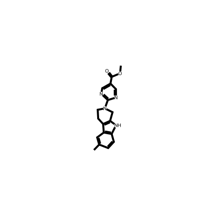 COC(=O)c1cnc(N2CCc3c([nH]c4ccc(C)cc34)C2)nc1